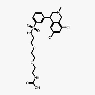 CN1Cc2c(Cl)cc(Cl)cc2C(c2cccc(S(=O)(=O)NCCOCCOCCNC(=O)O)c2)C1